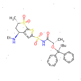 CCN[C@H]1C[C@H](C)S(=O)(=O)c2sc(S(=O)(=O)NC(=O)[C@H](C)O[Si](c3ccccc3)(c3ccccc3)C(C)(C)C)cc21